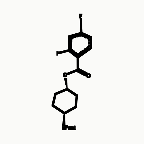 CCCCC[C@H]1CC[C@H](OC(=O)c2ccc(F)cc2F)CC1